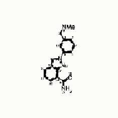 CNCc1cccc(-n2cc3cccc(C(N)=O)c3n2)c1